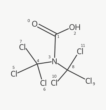 O=C(O)N(C(Cl)(Cl)Cl)C(Cl)(Cl)Cl